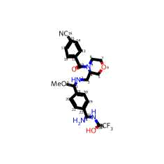 COC(NCC1COCCN1C(=O)c1ccc(C#N)cc1)c1ccc(C(N)NC(O)C(F)(F)F)cc1